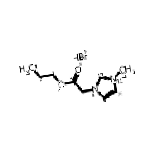 Br.CCCOC(=O)CN1C=CN(C)C1